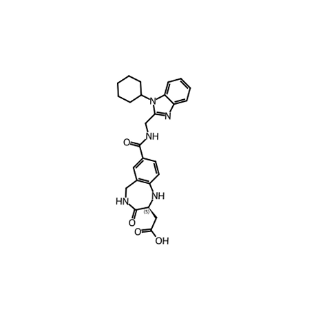 O=C(O)C[C@@H]1Nc2ccc(C(=O)NCc3nc4ccccc4n3C3CCCCC3)cc2CNC1=O